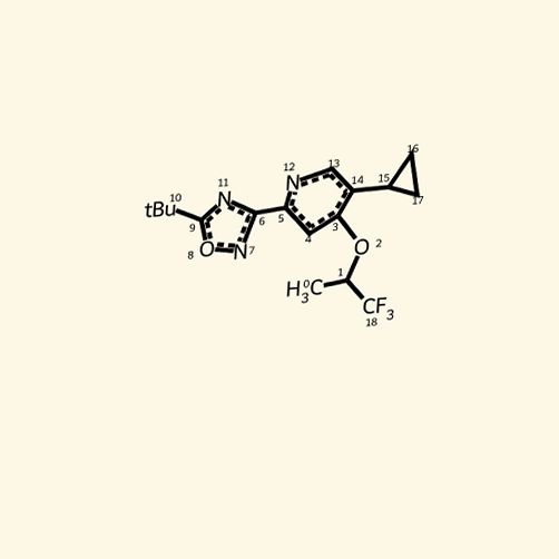 CC(Oc1cc(-c2noc(C(C)(C)C)n2)ncc1C1CC1)C(F)(F)F